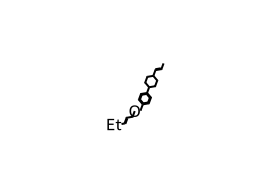 CC=CC1CCC(c2ccc(COCC=CCC)cc2)CC1